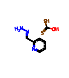 NN=Cc1ccccn1.OC(=S)S